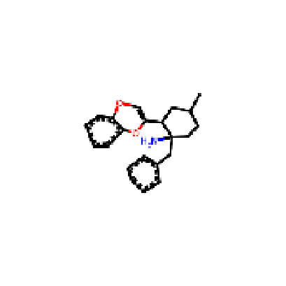 CC1CCC(N)(Cc2ccccc2)C(C2=COc3ccccc3O2)C1